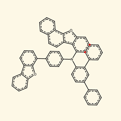 c1ccc(-c2ccc(N(c3ccc(-c4cccc5c4oc4ccccc45)cc3)c3cccc4oc5c6ccccc6ccc5c34)c(-c3ccccc3)c2)cc1